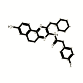 Nc1ccc2c(c1)CCc1nc(NC(=O)Cc3ccc(F)cc3)c(CC3CCCCC3)nc1-2